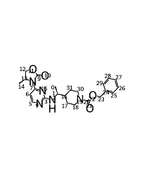 C[C@H](Nc1nccc(N2C(=O)OC[C@@H]2C)n1)C1CCN(C(=O)OCc2ccccc2)CC1